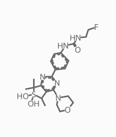 CC1c2c(N3CCOCC3)nc(-c3ccc(NC(=O)NCCF)cc3)nc2C(C)(C)S1(O)O